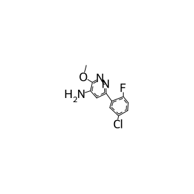 COc1nnc(-c2cc(Cl)ccc2F)cc1N